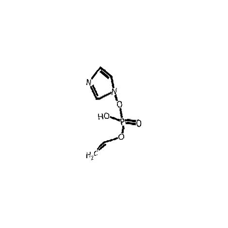 C=COP(=O)(O)On1ccnc1